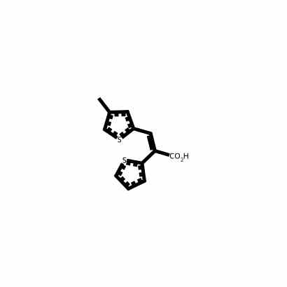 Cc1csc(C=C(C(=O)O)c2cccs2)c1